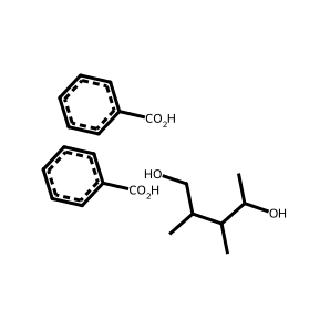 CC(O)C(C)C(C)CO.O=C(O)c1ccccc1.O=C(O)c1ccccc1